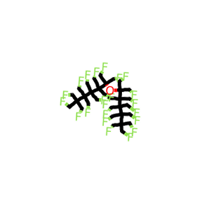 FCC(CF)(CF)C(CF)(CF)C(CF)(CF)C(CF)(CF)C(CF)(CF)OC(CF)(CF)C(CF)(CF)C(CF)(CF)C(CF)(CF)C(CF)(CF)CF